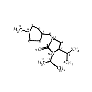 CC(C)C1CN(CC2CCN(C)CC2)C(=O)N1C(C)C